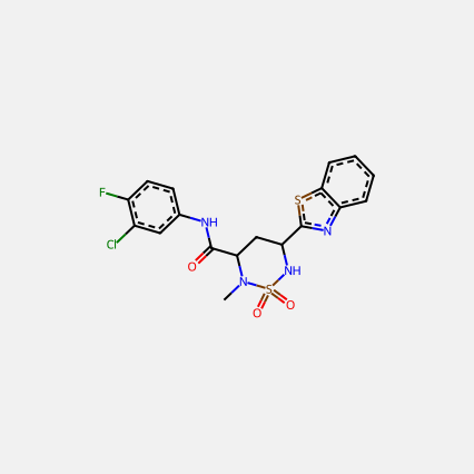 CN1C(C(=O)Nc2ccc(F)c(Cl)c2)CC(c2nc3ccccc3s2)NS1(=O)=O